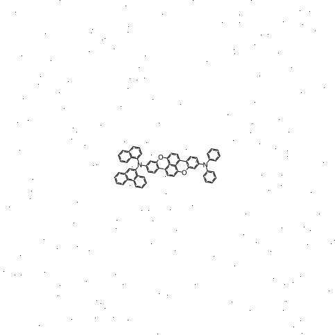 c1ccc(N(c2ccccc2)c2ccc3c(c2)Oc2ccc4c5c(ccc-3c25)Oc2cc(N(c3cccc5ccccc35)c3cc5ccccc5c5ccccc35)ccc2-4)cc1